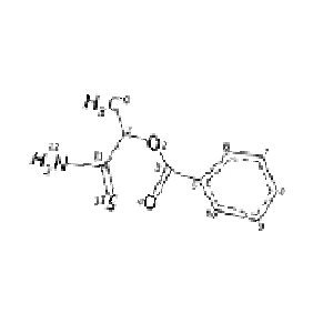 CC(OC(=O)c1ccccc1)C(N)=S